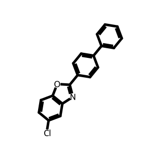 Clc1ccc2oc(-c3ccc(-c4ccccc4)cc3)nc2c1